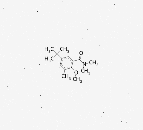 COc1c(C)cc(C(C)(C)C)cc1C(=O)N(C)C